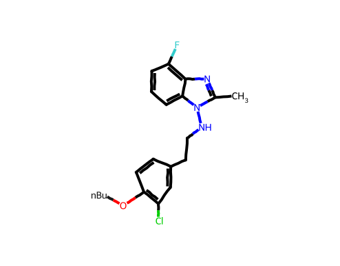 CCCCOc1ccc(CCNn2c(C)nc3c(F)cccc32)cc1Cl